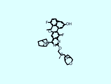 CCc1c(F)ccc2cc(O)cc(-c3c(Cl)cc4c(N5CC6CCC(C5)N6)nc(OC[C@H](C)CN5C6CCC5COC6)nc4c3F)c12